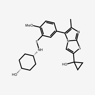 COc1ccc(-c2c(C)nc3sc(C4(O)CC4)cn23)cc1SN[C@H]1CC[C@@H](O)CC1